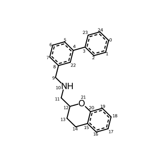 c1ccc(-c2cccc(CNCC3CCc4ccccc4O3)c2)cc1